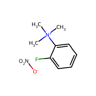 C[N+](C)(C)c1ccccc1F.O=[N+]([O-])[O-]